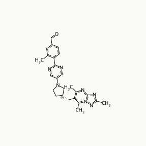 Cc1nc2nc(C)c(C[C@@H]3CCN(c4cnc(-c5ccc(C=O)cc5C)nc4)C3)c(C)n2n1